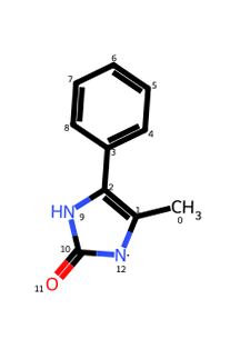 CC1=C(c2ccccc2)NC(=O)[N]1